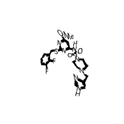 COc1cc(NS(=O)(=O)N2CCN(Cc3c[nH]cn3)CC2)nc(SCc2cccc(F)c2F)n1